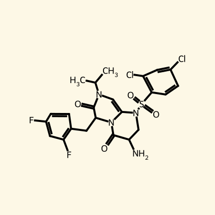 CC(C)N1C=C2N(C(=O)C(N)CN2S(=O)(=O)c2ccc(Cl)cc2Cl)C(Cc2ccc(F)cc2F)C1=O